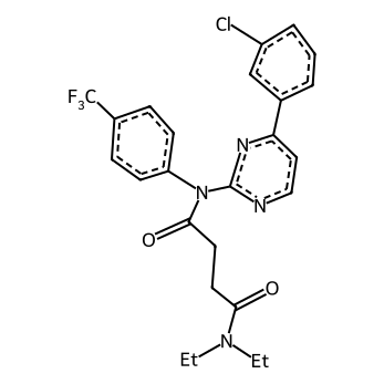 CCN(CC)C(=O)CCC(=O)N(c1ccc(C(F)(F)F)cc1)c1nccc(-c2cccc(Cl)c2)n1